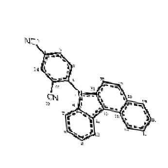 N#Cc1ccc(-n2c3ccccc3c3c4ccccc4ccc32)c(C#N)c1